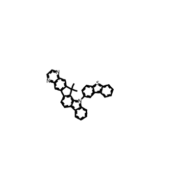 CC1(C)c2cc3nccnc3cc2-c2ccc3c4ccccc4n(-c4ccc5sc6ccccc6c5c4)c3c21